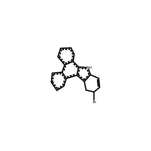 BrC1C=Cc2[nH]c3c4ccccc4c4ccccc4c3c2C1